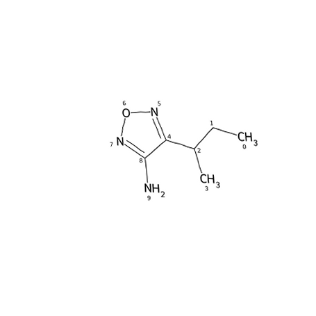 CCC(C)c1nonc1N